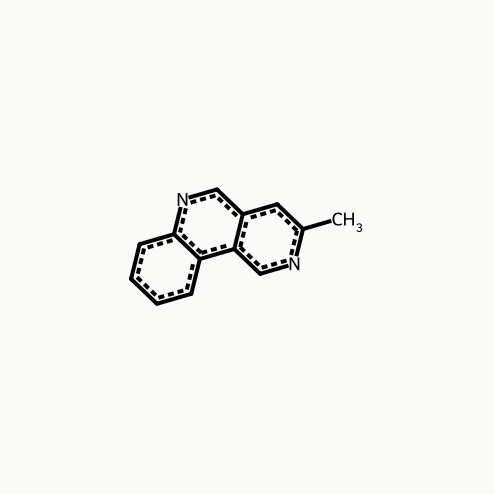 Cc1cc2cnc3ccccc3c2cn1